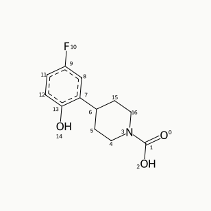 O=C(O)N1CCC(c2cc(F)ccc2O)CC1